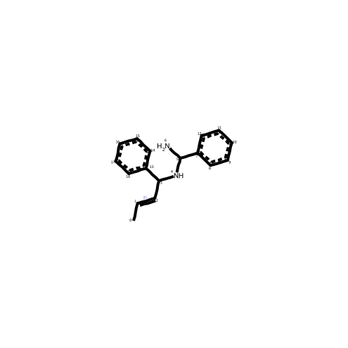 C/C=C/C(NC(N)c1ccccc1)c1ccccc1